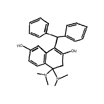 CN(C)C1(N(C)C)CC(O)=C(C(c2ccccc2)c2ccccc2)c2cc(O)ccc21